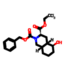 O=C(OCC(Cl)(Cl)Cl)[C@@H]1C[C@H]2[C@H](CCC[C@@H]2O)CN1C(=O)OCc1ccccc1